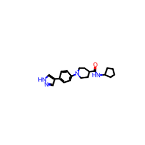 O=C(NC1CCCC1)C1CCN(c2ccc(-c3cn[nH]c3)cc2)CC1